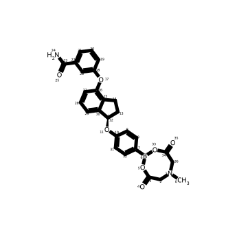 CN1CC(=O)OB(c2ccc(O[C@@H]3CCc4c(Oc5cccc(C(N)=O)c5)cccc43)cc2)OC(=O)C1